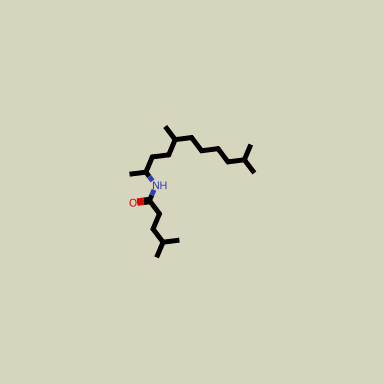 CC(C)CCCCC(C)CCC(C)NC(=O)CCC(C)C